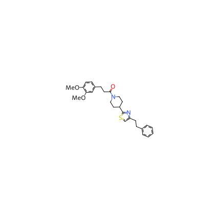 COc1ccc(CCC(=O)N2CCC(c3nc(CCc4ccccc4)cs3)CC2)cc1OC